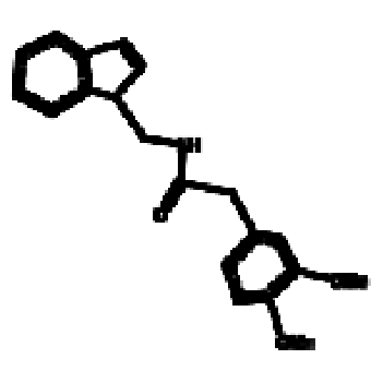 COc1ccc(CC(=O)NCC2C=Cc3ccccc32)cc1OC